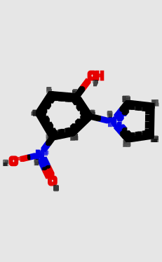 O=[N+]([O-])c1ccc(O)c(-n2cccc2)c1